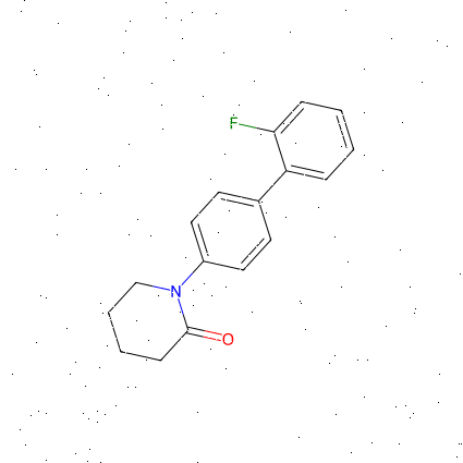 O=C1CCCCN1c1ccc(-c2ccccc2F)cc1